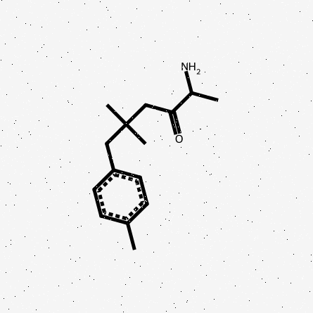 Cc1ccc(CC(C)(C)CC(=O)C(C)N)cc1